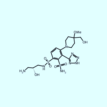 COC1(CO)CCN(c2ccc(S(=O)(=O)NC[C@H](O)CN)c(S(N)(=O)=O)c2-c2nn[nH]n2)CC1